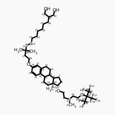 CN(CCO[C@H]1CCC2C3CCc4cc(OCCC(C)(C)SSCCCCCCC(CO)CO)ccc4C3CC[C@@]21C)CCOC(C(F)(F)F)(C(F)(F)F)C(F)(F)F